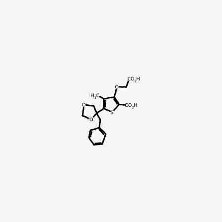 Cc1c(C2(Cc3ccccc3)COCO2)sc(C(=O)O)c1OCC(=O)O